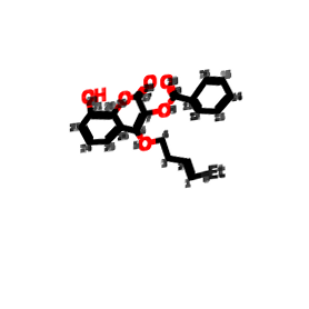 CC/C=C/CCOc1c(OC(=O)c2ccccc2)c(=O)oc2c(O)cccc12